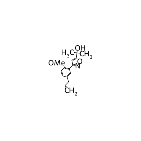 C=CCc1ccc(OC)c(-c2cc(C(C)(C)O)on2)c1